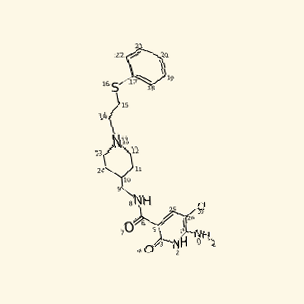 Nc1[nH]c(=O)c(C(=O)NCC2CCN(CCSc3ccccc3)CC2)cc1Cl